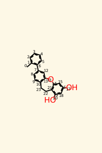 Cc1ccccc1-c1ccc2c(c1)Oc1cc(O)cc(O)c1CC2